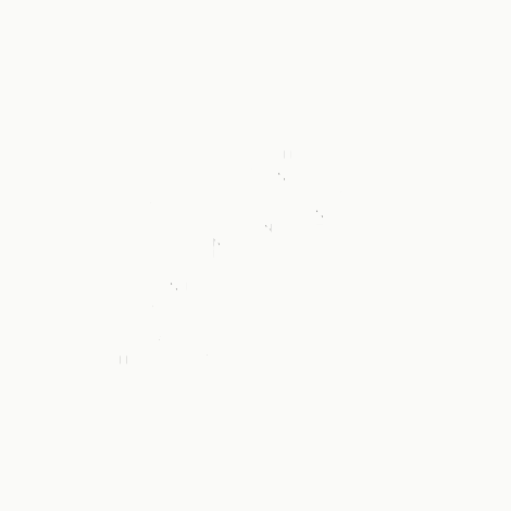 C=C(C)C(=O)Nc1ccccc1Nc1nc(Nc2ccccc2C)ncc1Cl